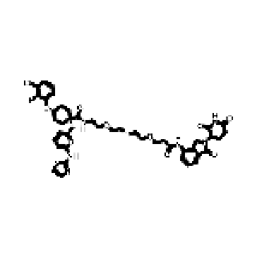 O=C1CCC(N2Cc3c(NC(=O)CCOCCOCCOCCNC(=O)[C@]4(Cc5cccc(Nc6nccs6)n5)CC[C@@H](Oc5cccc(Cl)c5F)CC4)cccc3C2=O)C(=O)N1